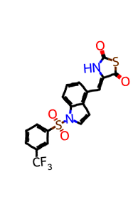 O=C1NC(=Cc2cccc3c2ccn3S(=O)(=O)c2cccc(C(F)(F)F)c2)C(=O)S1